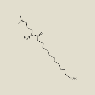 CCCCCCCCCCCCCCCCCCCCCC(=O)N(N)CCCN(C)C